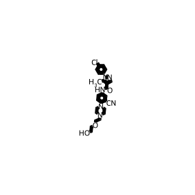 Cc1c(C(=O)Nc2ccc(N3CCN(CCOCCO)CC3)c(C#N)c2)cnn1-c1ccc(Cl)cc1